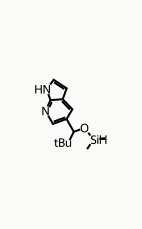 C[SiH](C)OC(c1cnc2[nH]ccc2c1)C(C)(C)C